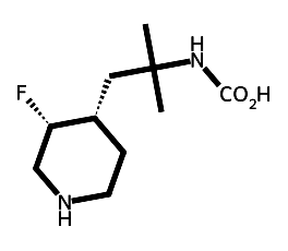 CC(C)(C[C@@H]1CCNC[C@@H]1F)NC(=O)O